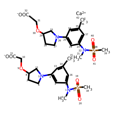 CN(c1cc(N2CCC(OCC(=O)[O-])C2)cc(C(F)(F)F)c1)S(C)(=O)=O.CN(c1cc(N2CCC(OCC(=O)[O-])C2)cc(C(F)(F)F)c1)S(C)(=O)=O.[Ca+2]